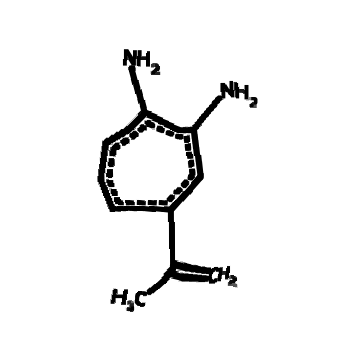 C=C(C)c1ccc(N)c(N)c1